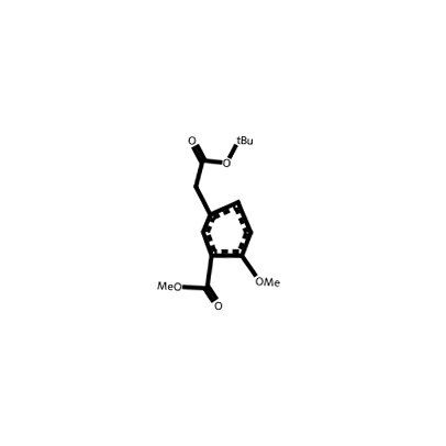 COC(=O)c1cc(CC(=O)OC(C)(C)C)ccc1OC